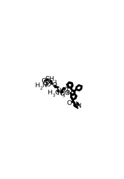 CN(CCOCCN(C)S(N)(=O)=O)C(=O)COc1ccccc1-c1c(C2CCCCC2)c2ccc(C(=O)n3ccnc3)cc2n1C